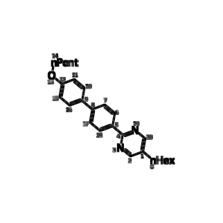 CCCCCCc1cnc(-c2ccc(-c3ccc(OCCCCC)cc3)cc2)nc1